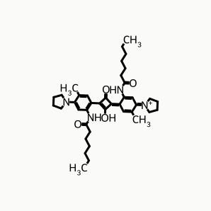 CCCCCCC(=O)NC1=CC(=[N+]2CCCC2)C(C)=C/C1=C1/C(=O)C(c2cc(C)c(N3CCCC3)cc2NC(=O)CCCCCC)=C1O